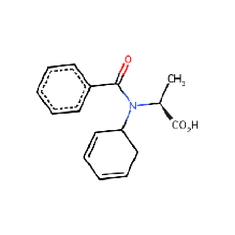 C[C@@H](C(=O)O)N(C(=O)c1ccccc1)C1C=CC=CC1